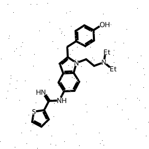 CCN(CC)CCn1c(Cc2ccc(O)cc2)cc2cc(NC(=N)c3cccs3)ccc21